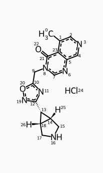 Cc1cncc2ncn(Cc3nc([C@@H]4[C@@H]5CNC[C@@H]54)no3)c(=O)c12.Cl